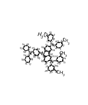 Cc1cccc(N(c2cccc(C)c2)c2ccc3c(c2)c2cc(N(c4cccc(C)c4)c4cccc(C)c4)ccc2n3-c2ccc(N(c3ccccc3)c3ccccc3)cc2)c1